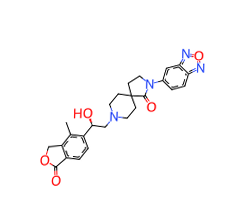 Cc1c([C@@H](O)CN2CCC3(CC2)CCN(c2ccc4nonc4c2)C3=O)ccc2c1COC2=O